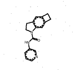 O=C(Nc1cccnc1)N1CCc2cc3c(cc21)CC3